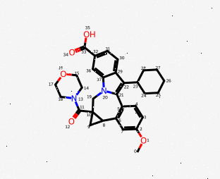 COc1ccc2c(c1)C1CC1(C(=O)N1CCOCC1)Cn1c-2c(C2CCCCC2)c2ccc(C(=O)O)cc21